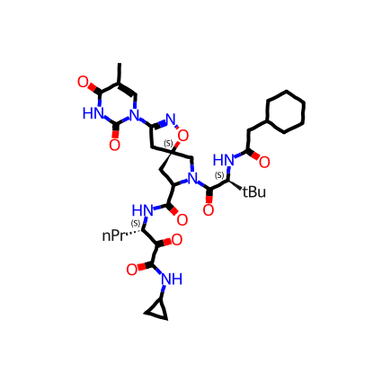 CCC[C@H](NC(=O)C1C[C@]2(CC(n3cc(C)c(=O)[nH]c3=O)=NO2)CN1C(=O)[C@@H](NC(=O)CC1CCCCC1)C(C)(C)C)C(=O)C(=O)NC1CC1